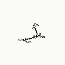 CCCCCCCCCCCOC(=O)CCCCCN1CC(OC(=O)CCCCCCC(=O)OC(CCCCCCCC)CCCCCCCC)C[C@H]1C(=O)OCCN(C)C